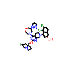 Oc1cc(N2CCc3c(nc(OC[C@@]45CCCN4C[C@H](F)C5)nc3N3CCOCC(n4cccn4)C3)C2)c2c(Br)c(F)ccc2c1